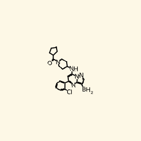 Bc1cnn2c(NC3CCN(C(=O)C4CCCC4)CC3)cc(-c3ccccc3Cl)nc12